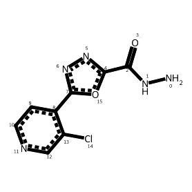 NNC(=O)c1nnc(-c2ccncc2Cl)o1